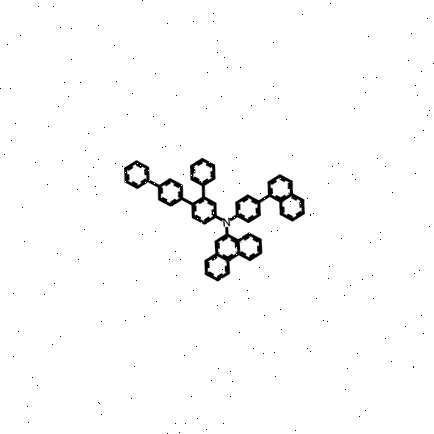 c1ccc(-c2ccc(-c3ccc(N(c4ccc(-c5cccc6ccccc56)cc4)c4cc5ccccc5c5ccccc45)cc3-c3ccccc3)cc2)cc1